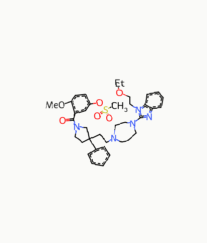 CCOCCn1c(N2CCCN(CCC3(c4ccccc4)CCN(C(=O)c4cc(OS(C)(=O)=O)ccc4OC)C3)CC2)nc2ccccc21